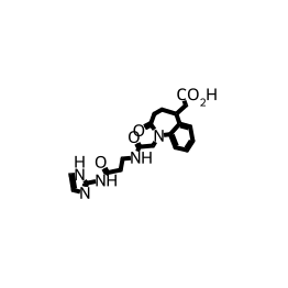 O=C(O)CC1CCC(=O)N(CC(=O)NCCC(=O)Nc2ncc[nH]2)c2ccccc21